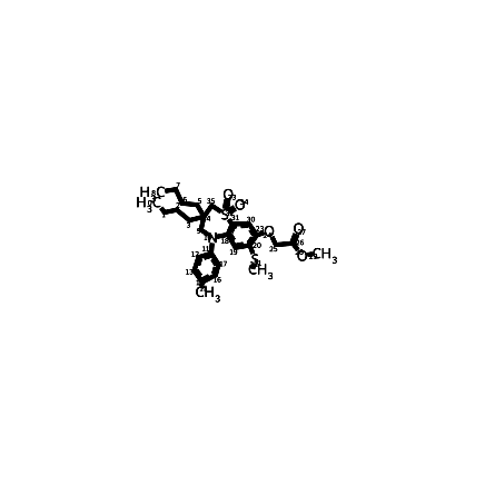 CCCCC1(CCCC)CN(c2ccc(C)cc2)c2cc(SC)c(OCC(=O)OC)cc2S(=O)(=O)C1